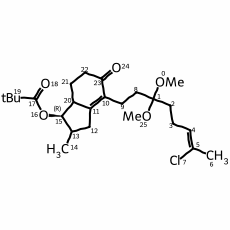 COC(CCC=C(C)Cl)(CCC1=C2CC(C)[C@@H](OC(=O)C(C)(C)C)C2CCC1=O)OC